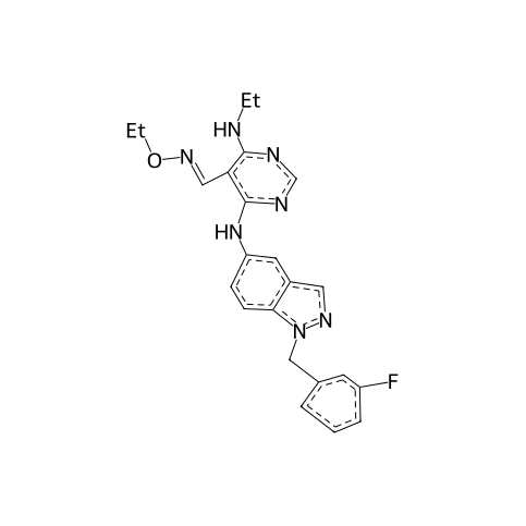 CCNc1ncnc(Nc2ccc3c(cnn3Cc3cccc(F)c3)c2)c1C=NOCC